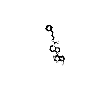 O=C(OCCCc1ccccc1)N1CCCC2C1CCN2c1ncnc2[nH]ccc12